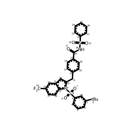 CC(C)(C)c1cccc(S(=O)(=O)n2c(Cc3ccc(C(=O)NS(=O)(=O)c4ccccc4)cc3)cc3cc(C(F)(F)F)ccc32)c1